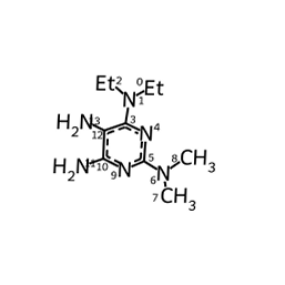 CCN(CC)c1nc(N(C)C)nc(N)c1N